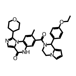 CCOc1ccc(C2c3cccn3CCN2C(=O)c2cc3[nH]c(=O)c4cnc(C5CCOCC5)n4c3cc2C)cc1